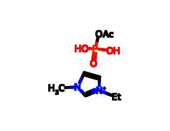 CC(=O)OP(=O)(O)O.CC[n+]1ccn(C)c1